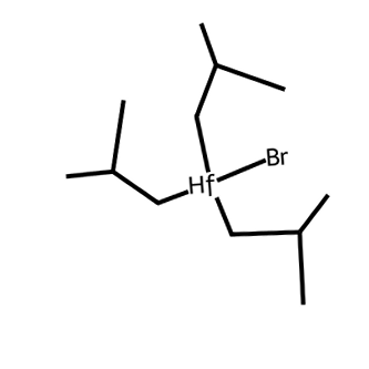 CC(C)[CH2][Hf]([Br])([CH2]C(C)C)[CH2]C(C)C